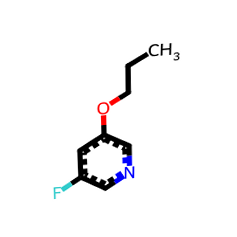 CCCOc1cncc(F)c1